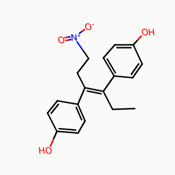 CC/C(=C(/CC[N+](=O)[O-])c1ccc(O)cc1)c1ccc(O)cc1